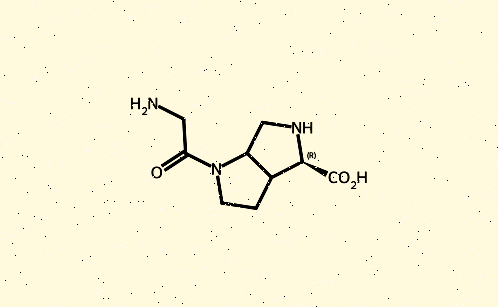 NCC(=O)N1CCC2C1CN[C@H]2C(=O)O